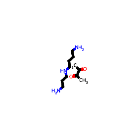 CC(=O)C(C)=O.NCCCCNCCCN